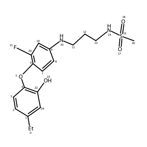 CCc1ccc(Oc2ccc(NCCCNS(C)(=O)=O)cc2F)c(O)c1